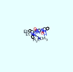 CCc1ccc(CC(NC(=O)N2CCC(N3CCc4ccccc4NC3=O)CC2)c2nc3ccccc3n2CCCN(C)C)cc1CC